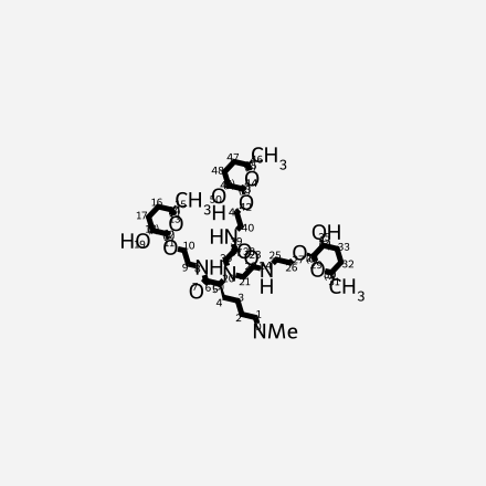 CNCCCC[C@@H](C(=O)NCCO[C@@H]1O[C@@H](C)CC[C@@H]1O)N(CC(=O)NCCO[C@@H]1O[C@@H](C)CC[C@@H]1O)CC(=O)NCCO[C@@H]1O[C@@H](C)CC[C@@H]1O